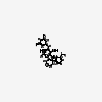 CCc1cccc(C2(NC[C@@H](O)[C@H](Cc3cc(F)cc(F)c3)NC(C)=O)CCOCC2)c1